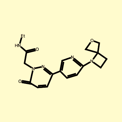 CCNC(=O)Cn1nc(-c2ccc(N3CCC34COC4)nc2)ccc1=O